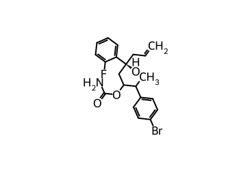 C=CC[C@](O)(CC(OC(N)=O)C(C)c1ccc(Br)cc1)c1ccccc1F